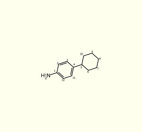 Nc1ccc([C]2CCCCC2)cc1